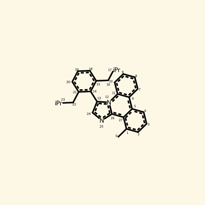 Cc1cccc2c3ccccc3n3c(-c4c(CC(C)C)cccc4CC(C)C)cnc3c12